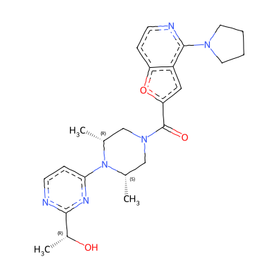 C[C@@H]1CN(C(=O)c2cc3c(N4CCCC4)nccc3o2)C[C@H](C)N1c1ccnc([C@@H](C)O)n1